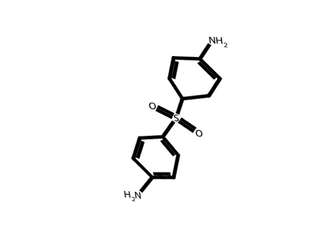 NC1=CCC(S(=O)(=O)c2ccc(N)cc2)C=C1